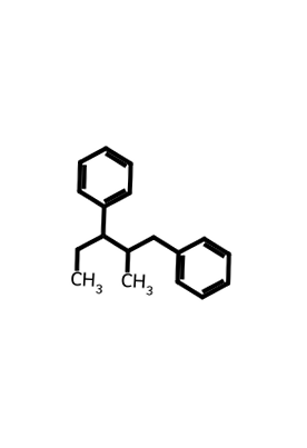 CCC(c1ccccc1)C(C)Cc1ccccc1